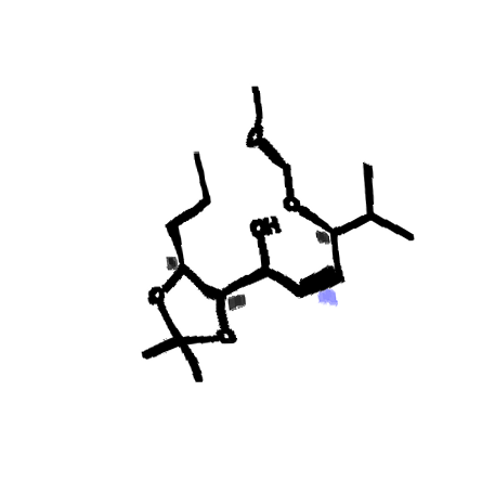 CCC[C@@H]1OC(C)(C)O[C@@H]1C(O)/C=C\[C@@H](OCOC)C(C)C